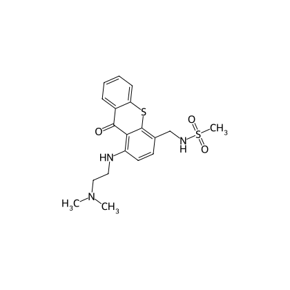 CN(C)CCNc1ccc(CNS(C)(=O)=O)c2sc3ccccc3c(=O)c12